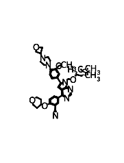 COc1cc(-c2cc3c(-c4ccc(OC5CCOCC5)c(C#N)c4)ncnc3n2COCC[Si](C)(C)C)ccc1N1CCN(C2COC2)CC1